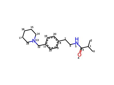 CC(C)C(=O)NCCc1ccc(CN2CCCCC2)cc1